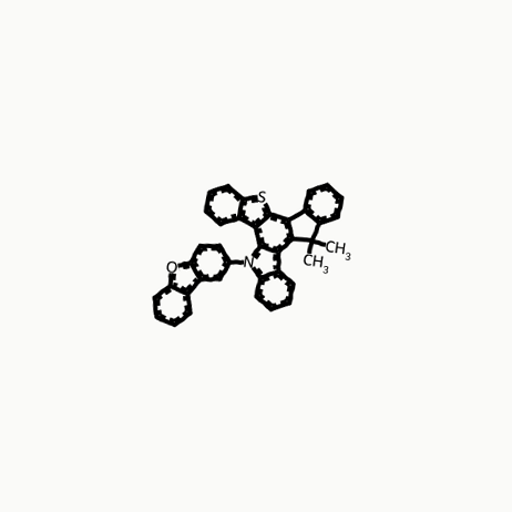 CC1(C)c2ccccc2-c2c1c1c3ccccc3n(-c3ccc4oc5ccccc5c4c3)c1c1c2sc2ccccc21